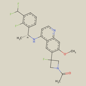 COc1cc2nccc(N[C@H](C)c3cccc(C(F)F)c3F)c2cc1C1(F)CN(C(C)=O)C1